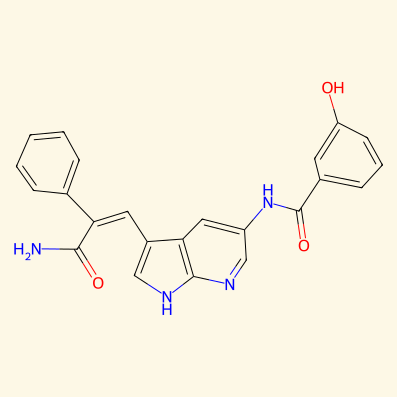 NC(=O)/C(=C\c1c[nH]c2ncc(NC(=O)c3cccc(O)c3)cc12)c1ccccc1